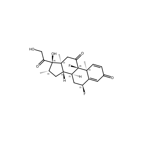 C[C@H]1C[C@H]2[C@@H]3C[C@H](F)C4=CC(=O)C=C[C@]4(C)[C@@]3(F)C(=O)C[C@]2(C)[C@@]1(O)C(=O)CO